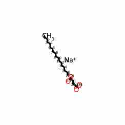 CCCCCCCCCCCCCCCCCCOC(=O)/C=C/C(=O)[O-].[Na+]